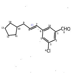 O=Cc1cc(Cl)cc(/C=C/CC2CCCC2)c1